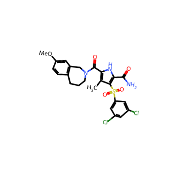 COc1ccc2c(c1)CN(C(=O)c1[nH]c(C(N)=O)c(S(=O)(=O)c3cc(Cl)cc(Cl)c3)c1C)CCC2